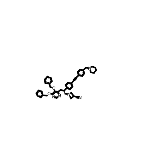 N#CC1CN(C[C@@H](Cc2ncnc(OCc3ccccc3)c2OCc2ccccc2)c2ccc(C#Cc3ccc(CN4CCCCC4)cc3)cc2)C1